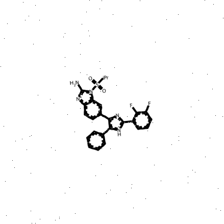 CC(C)S(=O)(=O)n1c(N)nc2ccc(-c3nc(-c4cccc(F)c4F)[nH]c3-c3ccccc3)cc21